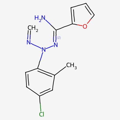 C=NN(/N=C(\N)c1ccco1)c1ccc(Cl)cc1C